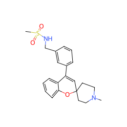 CN1CCC2(C=C(c3cccc(CNS(C)(=O)=O)c3)c3ccccc3O2)CC1